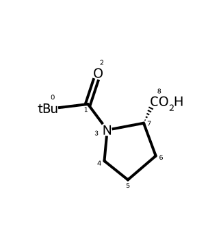 CC(C)(C)C(=O)N1CCC[C@H]1C(=O)O